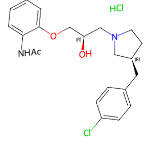 CC(=O)Nc1ccccc1OC[C@H](O)CN1CC[C@@H](Cc2ccc(Cl)cc2)C1.Cl